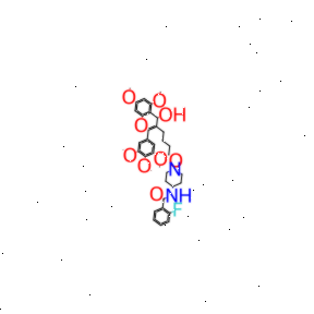 COc1cc(OC)c2c(c1)OC(c1cc(OC)c(OC)c(OC)c1)=C(CCCCON1CCC(NC(=O)c3ccccc3F)CC1)C2O